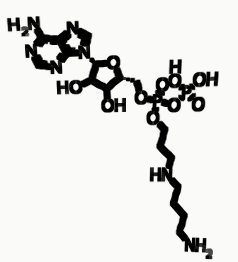 NCCCCNCCCOP(=O)(OC[C@H]1O[C@@H](n2cnc3c(N)ncnc32)C(O)C1O)OP(=O)(O)O